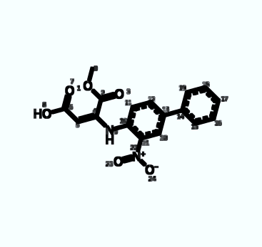 COC(=O)C(=CC(=O)O)Nc1ccc(-c2ccccc2)cc1[N+](=O)[O-]